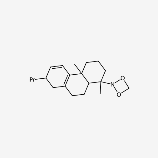 CC(C)C1C=CC2=C(CCC3C2(C)CCCC3(C)N2OCO2)C1